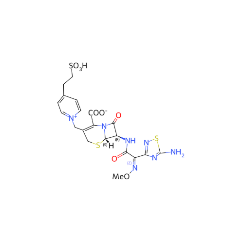 CO/N=C(\C(=O)N[C@@H]1C(=O)N2C(C(=O)[O-])=C(C[n+]3ccc(CCS(=O)(=O)O)cc3)CS[C@@H]12)c1nsc(N)n1